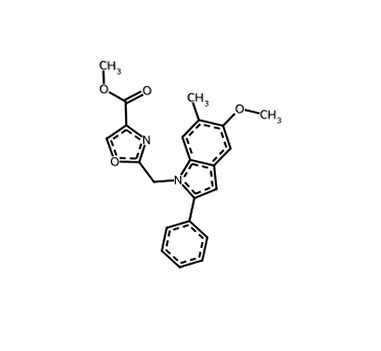 COC(=O)c1coc(Cn2c(-c3ccccc3)cc3cc(OC)c(C)cc32)n1